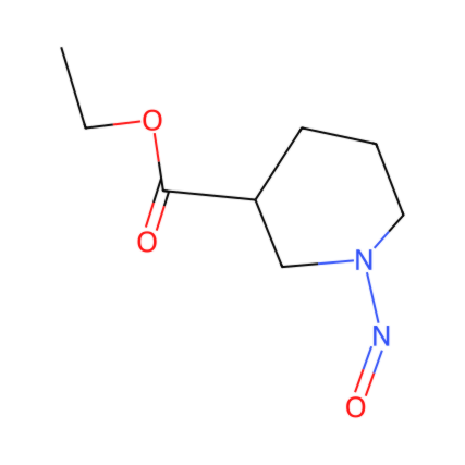 CCOC(=O)C1CCCN(N=O)C1